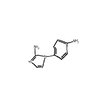 Nc1ccc(-n2ccnc2N)cc1